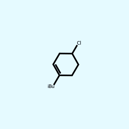 CCC(C)C1=CCC(Cl)CC1